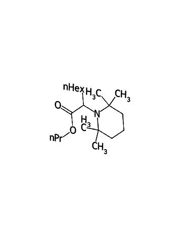 CCCCCCC(C(=O)OCCC)N1C(C)(C)CCCC1(C)C